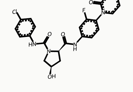 O=C(Nc1ccc(-n2ccccc2=O)c(F)c1)[C@H]1C[C@@H](O)CN1C(=O)Nc1ccc(Cl)cc1